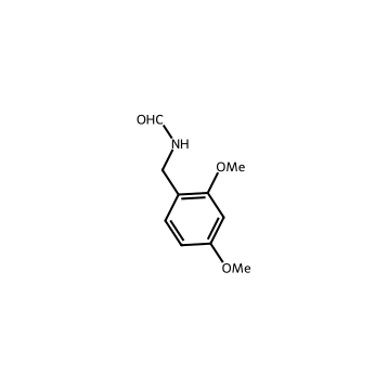 COc1ccc(CNC=O)c(OC)c1